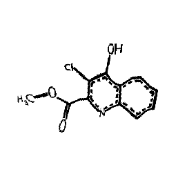 COC(=O)c1nc2ccccc2c(O)c1Cl